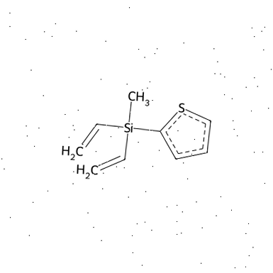 C=C[Si](C)(C=C)c1cccs1